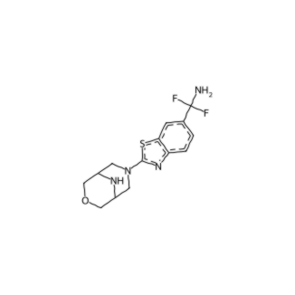 NC(F)(F)c1ccc2nc(N3CC4COCC(C3)N4)sc2c1